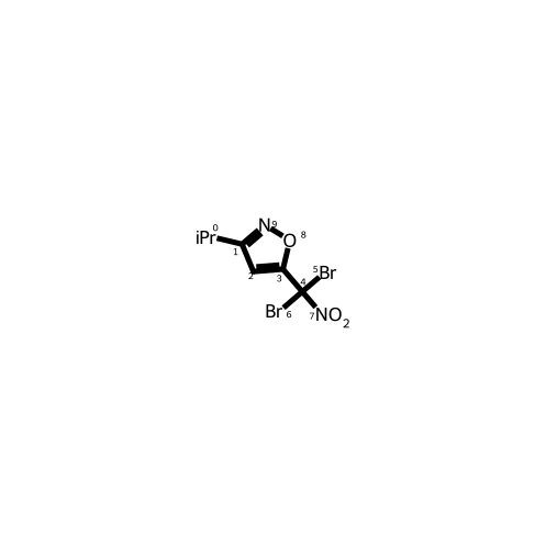 CC(C)c1cc(C(Br)(Br)[N+](=O)[O-])on1